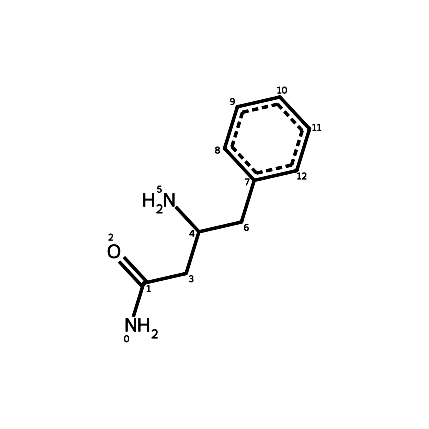 NC(=O)CC(N)Cc1ccccc1